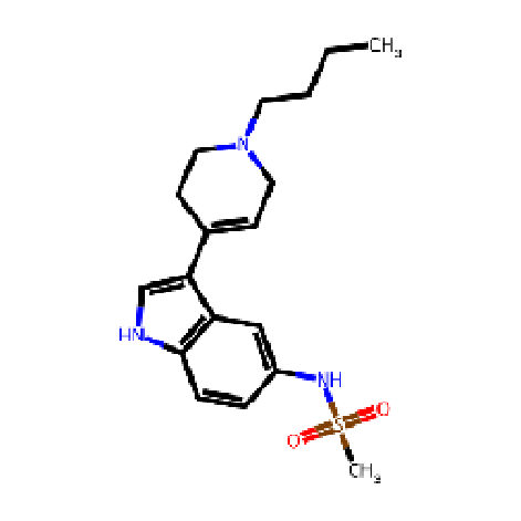 CCCCN1CC=C(c2c[nH]c3ccc(NS(C)(=O)=O)cc23)CC1